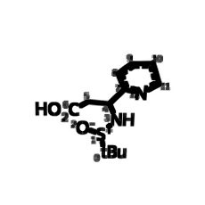 CC(C)(C)[S+]([O-])NC(CC(=O)O)c1ccccn1